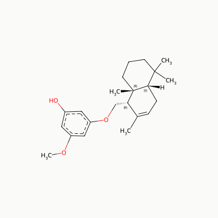 COc1cc(O)cc(OC[C@H]2C(C)=CC[C@H]3C(C)(C)CCC[C@@]23C)c1